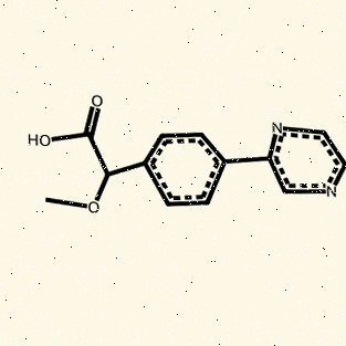 COC(C(=O)O)c1ccc(-c2cnccn2)cc1